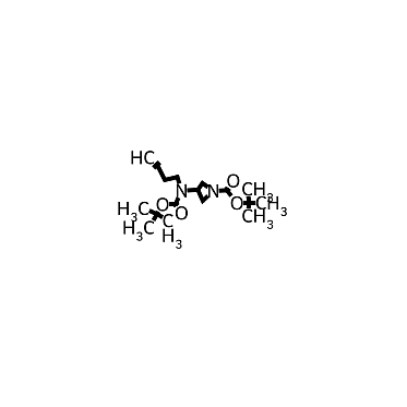 C#CCCN(C(=O)OC(C)(C)C)C1CN(C(=O)OC(C)(C)C)C1